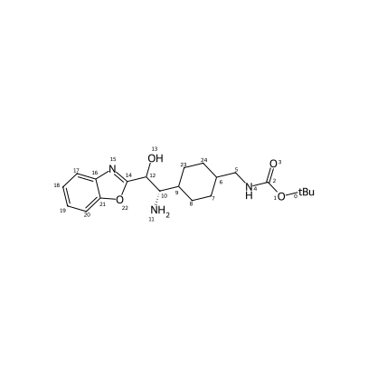 CC(C)(C)OC(=O)NCC1CCC([C@H](N)C(O)c2nc3ccccc3o2)CC1